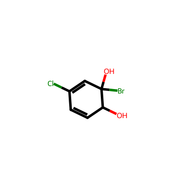 OC1C=CC(Cl)=CC1(O)Br